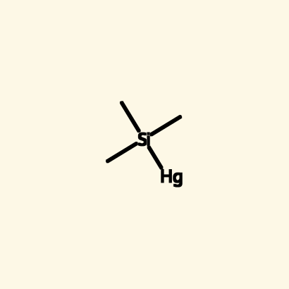 C[Si](C)(C)[Hg]